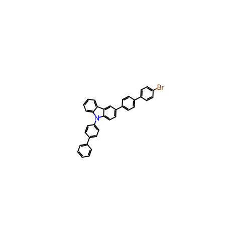 Brc1ccc(-c2ccc(-c3ccc4c(c3)c3ccccc3n4-c3ccc(-c4ccccc4)cc3)cc2)cc1